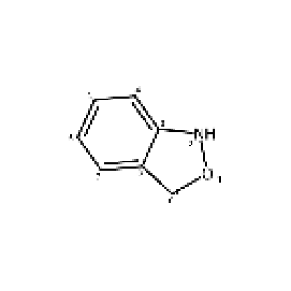 [CH]1ONc2ccccc21